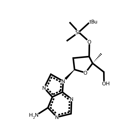 CC(C)(C)[Si](C)(C)OC1C[C@H](n2cnc3c(N)ncnc32)O[C@]1(C)CO